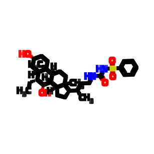 CC[C@H]1[C@@H](O)[C@@H]2[C@H](CC[C@]3(C)[C@@H]([C@H](C)CCNC(=O)NS(=O)(=O)c4ccccc4)CC[C@@H]23)[C@@]2(C)CC[C@@H](O)C[C@@H]12